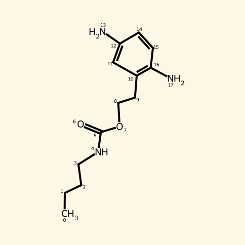 CCCCNC(=O)OCCc1cc(N)ccc1N